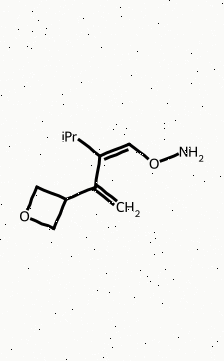 C=C(/C(=C\ON)C(C)C)C1COC1